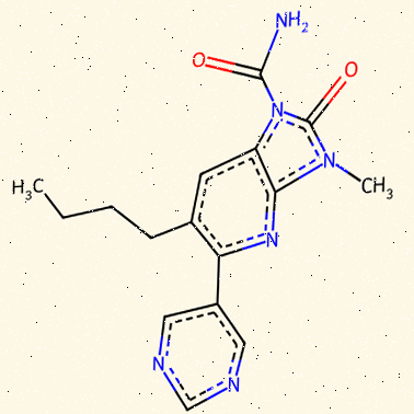 CCCCc1cc2c(nc1-c1cncnc1)n(C)c(=O)n2C(N)=O